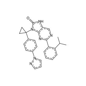 CC(C)c1ccccc1-c1ncc2[nH]c(=O)n(C3(c4ccc(-n5cccn5)cc4)CC3)c2n1